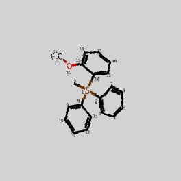 CS(c1ccccc1)(c1ccccc1)c1ccccc1OC(F)(F)F